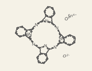 [O-2].[O-2].[Sn+4].c1ccc2c(c1)-c1nc-2nc2[nH]c(nc3nc(nc4[nH]c(n1)c1ccccc41)-c1ccccc1-3)c1ccccc21